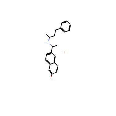 Br.CC(CCc1ccccc1)NC(C)c1ccc2cc(O)ccc2c1